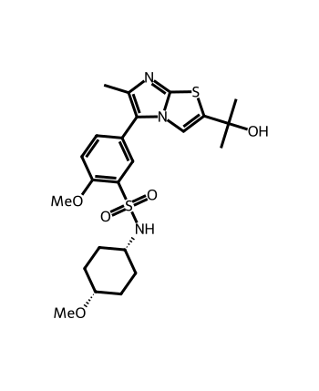 COc1ccc(-c2c(C)nc3sc(C(C)(C)O)cn23)cc1S(=O)(=O)N[C@H]1CC[C@@H](OC)CC1